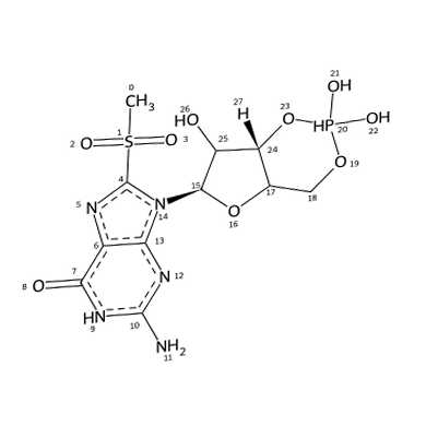 CS(=O)(=O)c1nc2c(=O)[nH]c(N)nc2n1[C@@H]1OC2CO[PH](O)(O)O[C@H]2C1O